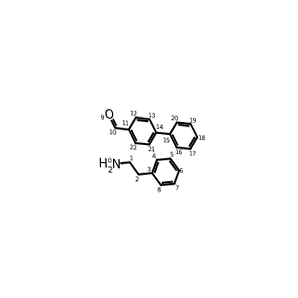 NCCc1ccccc1.O=Cc1ccc(-c2ccccc2)cc1